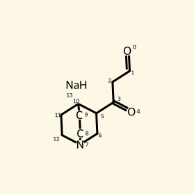 O=CCC(=O)C1CN2CCC1CC2.[NaH]